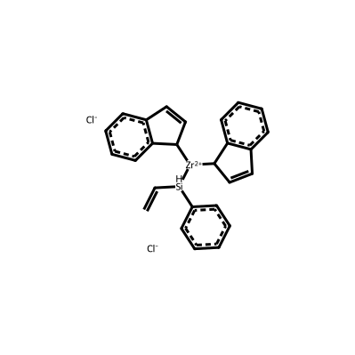 C=C[SiH](c1ccccc1)[Zr+2]([CH]1C=Cc2ccccc21)[CH]1C=Cc2ccccc21.[Cl-].[Cl-]